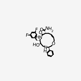 NC(=O)[C@@H]1CC=CCOC[C@@H](c2ccccc2)NC[C@@H](O)[C@H](Cc2cc(F)cc(F)c2)NC1=O